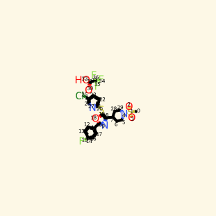 CS(=O)(=O)N1CCC(c2nc(-c3ccc(F)cc3)oc2Sc2ccc(Cl)cn2)CC1.O=C(O)C(F)(F)F